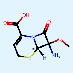 COC1(N)C(=O)N2C(C(=O)O)=CCS[C@H]21